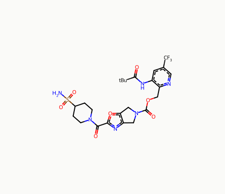 CC(C)(C)C(=O)Nc1cc(C(F)(F)F)cnc1COC(=O)N1Cc2nc(C(=O)N3CCC(S(N)(=O)=O)CC3)oc2C1